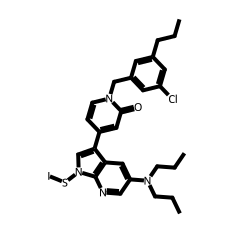 CCCc1cc(Cl)cc(Cn2ccc(-c3cn(SI)c4ncc(N(CCC)CCC)cc34)cc2=O)c1